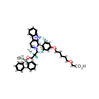 C[C@@H]1Cc2c([nH]c3ccccc23)[C@@H](c2c(F)cc(OCCCCCOCC(=O)O)cc2F)N1CC(F)(F)CO[Si](c1ccccc1)(c1ccccc1)C(C)(C)C